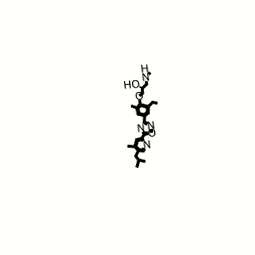 CCc1cc(-c2noc(-c3cc(C)c(CC(C)C)cn3)n2)cc(C)c1OC[C@@H](O)CNC